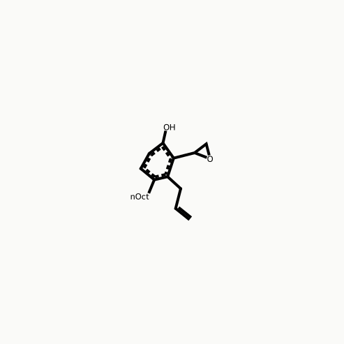 C=CCc1c(CCCCCCCC)ccc(O)c1C1CO1